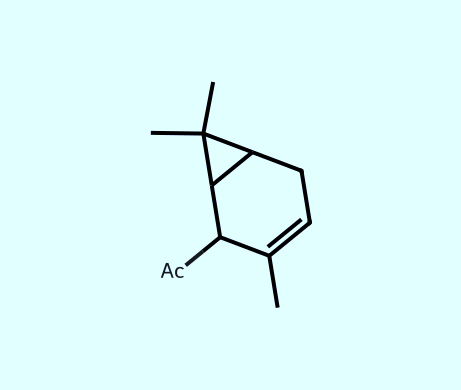 CC(=O)C1C(C)=CCC2C1C2(C)C